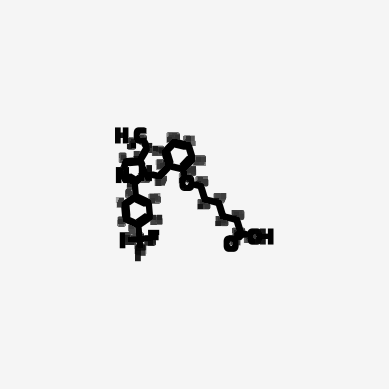 CCc1cnc(-c2ccc(C(F)(F)F)cc2)n1Cc1ccccc1OCCCCCC(=O)O